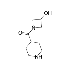 O=C(C1CCNCC1)N1CC(O)C1